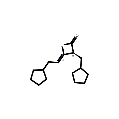 O=C1O/C(=C\CC2CCCC2)[C@@H]1CC1CCCC1